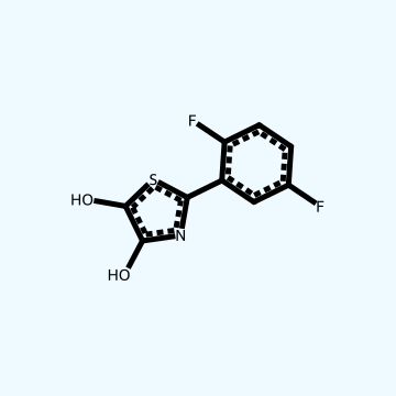 Oc1nc(-c2cc(F)ccc2F)sc1O